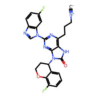 [C-]#[N+]CCCc1nc(-n2cnc3ccc(F)cc32)nc2c1[nH]c(=O)n2[C@@H]1CCOc2c(F)cccc21